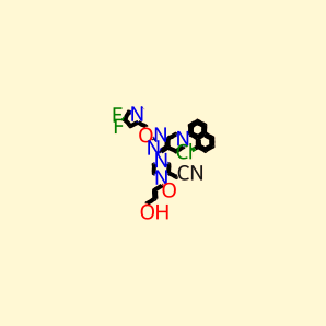 CN1CC(F)(F)CC1COc1nc2c(c(N3CCN(C(=O)/C=C/CO)C(CC#N)C3)n1)CCN(c1cccc3cccc(Cl)c13)C2